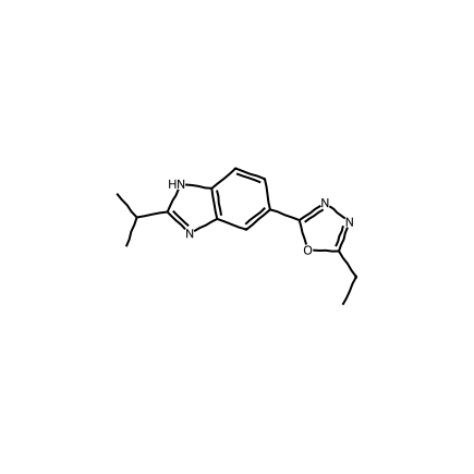 CCc1nnc(-c2ccc3[nH]c(C(C)C)nc3c2)o1